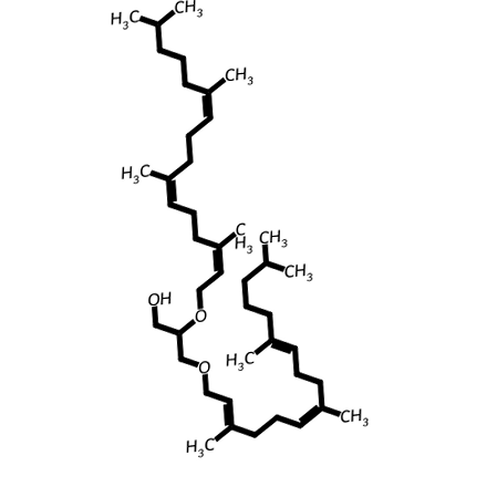 CC(=CCCC(C)=CCOCC(CO)OCC=C(C)CCC=C(C)CCC=C(C)CCCC(C)C)CCC=C(C)CCCC(C)C